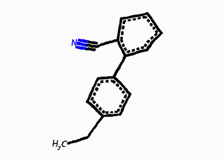 CCc1ccc(-c2ccccc2C#N)cc1